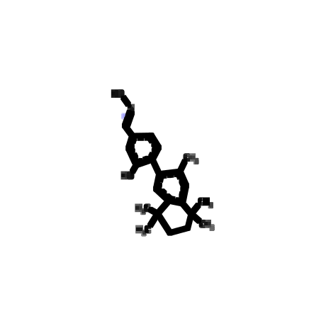 Cc1cc2c(cc1-c1ccc(/C=N/O)cc1O)C(C)(C)CCC2(C)C